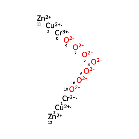 [Cr+3].[Cr+3].[Cu+2].[Cu+2].[O-2].[O-2].[O-2].[O-2].[O-2].[O-2].[O-2].[Zn+2].[Zn+2]